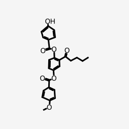 CCCCC(=O)c1cc(OC(=O)c2ccc(OC)cc2)ccc1OC(=O)c1ccc(O)cc1